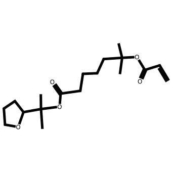 C=CC(=O)OC(C)(C)CCCCC(=O)OC(C)(C)C1CCCO1